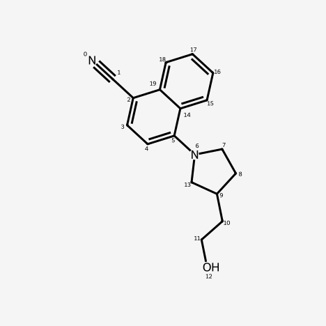 N#Cc1ccc(N2CCC(CCO)C2)c2ccccc12